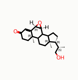 C[C@H](CO)[C@H]1CCC2C3C(CC[C@@]21C)[C@@]1(C)CCC(=O)C=C1[C@H]1O[C@@H]31